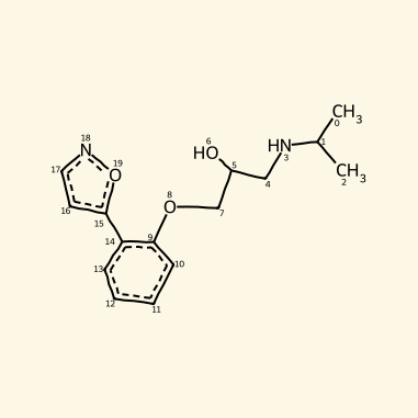 CC(C)NCC(O)COc1ccccc1-c1ccno1